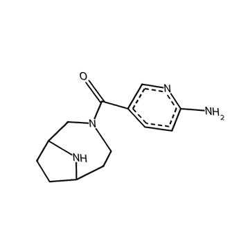 Nc1ccc(C(=O)N2CCC3CCC(C2)N3)cn1